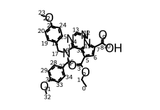 CCOC(=O)c1cc(C(=O)O)n2ncnc(N(Cc3ccc(OC)cc3)Cc3ccc(OC)cc3)c12